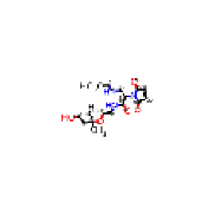 CC(C)(CCO)OCCNC(=O)[C@@H](CNCC(=O)O)N1C(=O)C=CC1=O